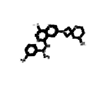 Cc1nnc(N[C@H](C)c2cccc(C(F)(F)F)c2)c2cc(N3CC4(CN(C)CCO4)C3)cnc12